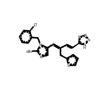 CCCCc1ncc(C=C(C=Cc2nnn[nH]2)Cc2cccs2)n1Cc1ccccc1Cl